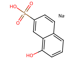 O=S(=O)(O)c1ccc2cccc(O)c2c1.[Na]